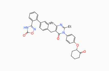 CCCc1nc(CC)n(-c2ccc(OC3CCCCC3=O)cc2)c(=O)c1Cc1ccc(-c2ccccc2-c2noc(=O)[nH]2)cc1